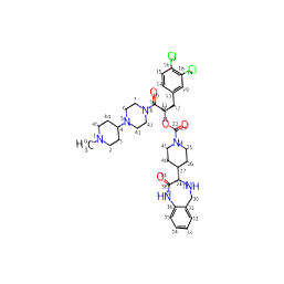 CN1CCC(N2CCN(C(=O)[C@@H](Cc3ccc(Cl)c(Cl)c3)OC(=O)N3CCC(C4NCc5ccccc5NC4=O)CC3)CC2)CC1